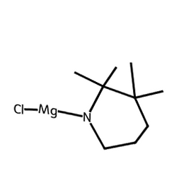 CC1(C)CCC[N]([Mg][Cl])C1(C)C